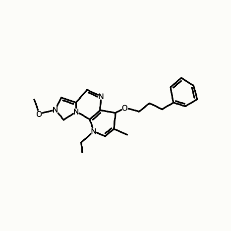 CCN1C=C(C)C(OCCCc2ccccc2)C2=C1N1CN(OC)C=C1C=N2